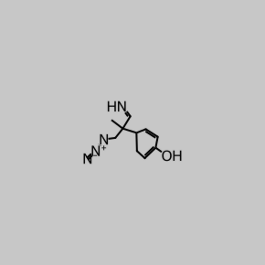 CC(C=N)(CN=[N+]=[N-])C1C=CC(O)=CC1